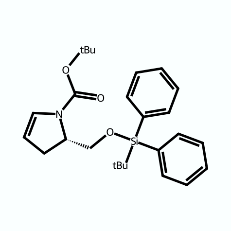 CC(C)(C)OC(=O)N1C=CC[C@H]1CO[Si](c1ccccc1)(c1ccccc1)C(C)(C)C